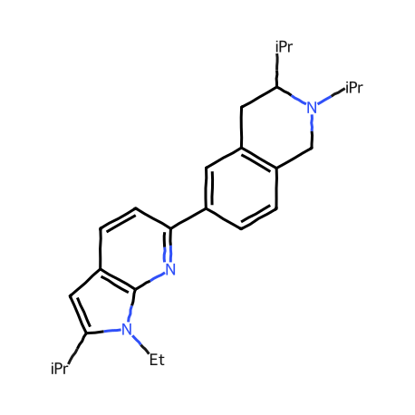 CCn1c(C(C)C)cc2ccc(-c3ccc4c(c3)CC(C(C)C)N(C(C)C)C4)nc21